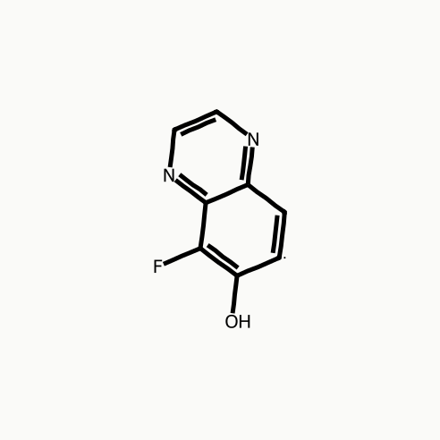 Oc1[c]cc2nccnc2c1F